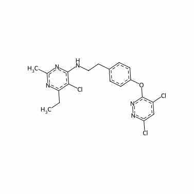 CCc1nc(C)nc(NCCc2ccc(Oc3nnc(Cl)cc3Cl)cc2)c1Cl